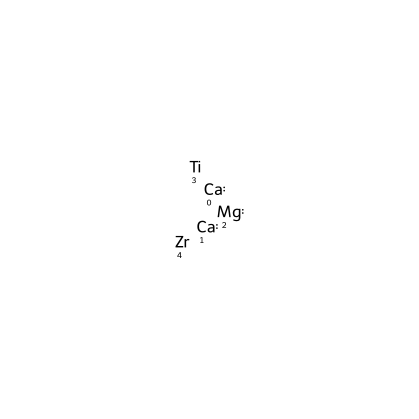 [Ca].[Ca].[Mg].[Ti].[Zr]